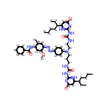 CCCCC(CC)c1cc(=O)nc(NC(=O)NCCCN(CCNC(=O)Nc2nc(=O)cc(C(CC)CCCC)[nH]2)c2ccc(/N=N/c3cc(C)c(NC(=O)c4ccccc4)cc3OC)cc2)[nH]1